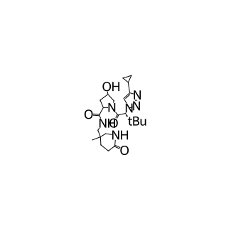 CC1(CNC(=O)C2CC(O)CN2C(=O)[C@@H](n2cc(C3CC3)nn2)C(C)(C)C)CCC(=O)NC1